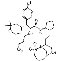 CC1(C)CC([C@H](c2ccc(Cl)cc2)[C@H](NCCCC(F)(F)F)C(=O)N[C@H]2CCC[C@@H]2CC[C@H]2CNC3CCCS(=O)(=O)N2C3)CCO1